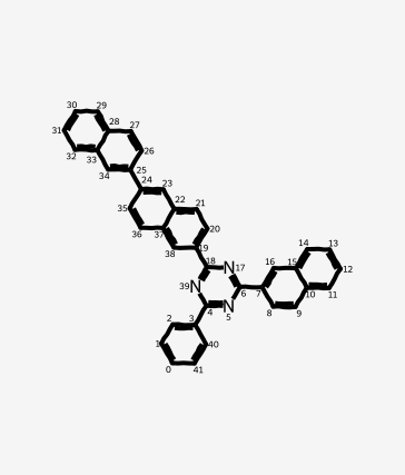 c1ccc(-c2nc(-c3ccc4ccccc4c3)nc(-c3ccc4cc(-c5ccc6ccccc6c5)ccc4c3)n2)cc1